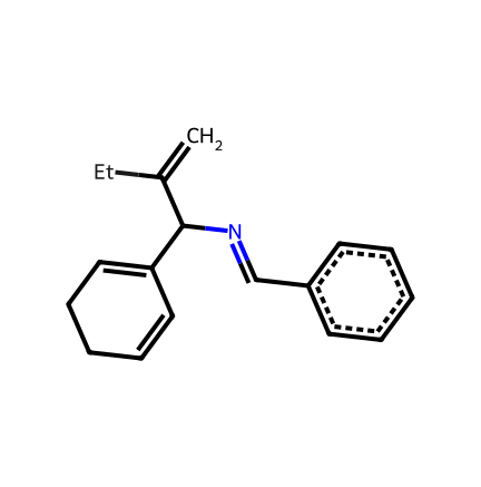 C=C(CC)C(/N=C/c1ccccc1)C1=CCCC=C1